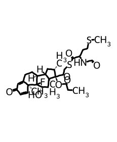 CCC(=O)O[C@]1(C(=O)CSC(=O)C(CCSC)NC=O)[C@@H](C)C[C@H]2[C@@H]3CCC4=CC(=O)C=C[C@]4(C)C3(F)[C@@H](O)C[C@@]21C